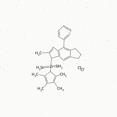 CC1=Cc2c(cc3c(c2-c2ccccc2)CCC3)[CH]1[Zr](=[SiH2])(=[SiH2])[CH]1C(C)=C(C)C(C)=C1C.[Cl-].[Cl-]